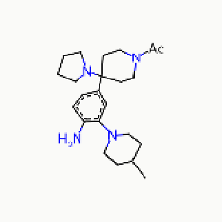 CC(=O)N1CCC(c2ccc(N)c(N3CCC(C)CC3)c2)(N2CCCC2)CC1